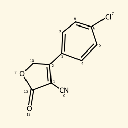 N#CC1=C(c2ccc(Cl)cc2)COC1=O